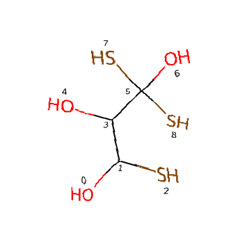 OC(S)C(O)C(O)(S)S